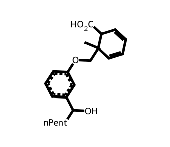 CCCCCC(O)c1cccc(OCC2(C)C=CC=CC2C(=O)O)c1